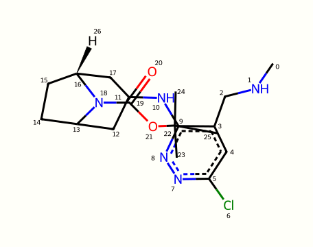 CNCc1cc(Cl)nnc1NC1CC2CC[C@H](C1)N2C(=O)OC(C)(C)C